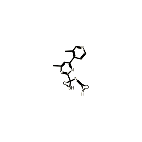 Cc1cc(-c2ccncc2C)nc(C2(/N=C3\BO3)BO2)n1